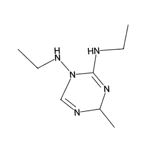 CCNC1=NC(C)N=CN1NCC